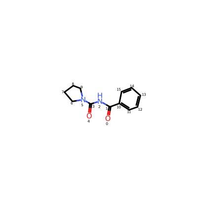 O=C(NC(=O)N1CCCC1)c1ccccc1